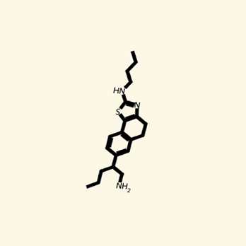 CCCCNc1nc2c(s1)-c1ccc(C(CN)CCC)cc1CC2